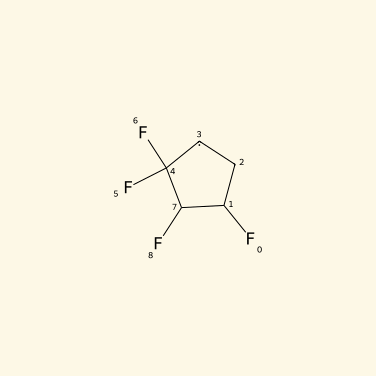 FC1C[CH]C(F)(F)C1F